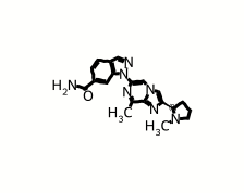 Cc1nc(-n2ncc3ccc(C(N)=O)cc32)cn2cc([C@H]3CCCN3C)nc12